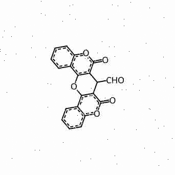 O=CC1c2c(c3ccccc3oc2=O)Oc2c1c(=O)oc1ccccc21